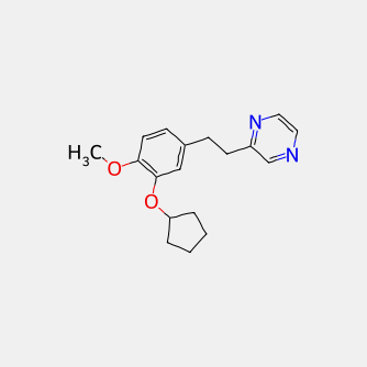 COc1ccc(CCc2cnccn2)cc1OC1CCCC1